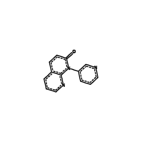 O=c1ccc2cccnc2n1-c1cccnc1